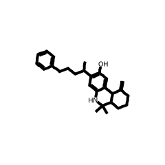 C=C1CCCC2C1c1cc(O)c(C(C)CCCc3ccccc3)cc1NC2(C)C